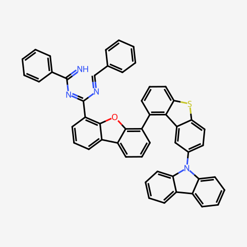 N=C(/N=C(\N=C\c1ccccc1)c1cccc2c1oc1c(-c3cccc4sc5ccc(-n6c7ccccc7c7ccccc76)cc5c34)cccc12)c1ccccc1